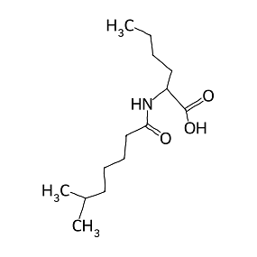 CCCCC(NC(=O)CCCCC(C)C)C(=O)O